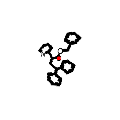 O=C(OCc1ccccc1)C(CC(c1ccccc1)c1ccccc1)c1ccccn1